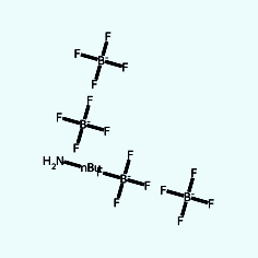 CCCCN.F[B-](F)(F)F.F[B-](F)(F)F.F[B-](F)(F)F.F[B-](F)(F)F